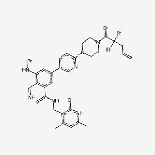 C=CCC(CC)(CC)C(=O)N1CCN(c2ccc(-c3cc(NC(C)C)c(C=N)c(C(=O)NCc4c(C)cc(C)[nH]c4=O)c3)cn2)CC1